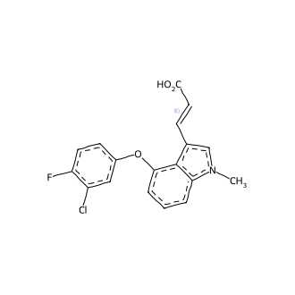 Cn1cc(/C=C/C(=O)O)c2c(Oc3ccc(F)c(Cl)c3)cccc21